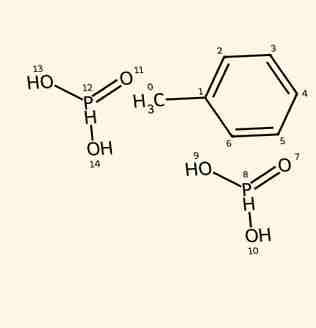 Cc1ccccc1.O=[PH](O)O.O=[PH](O)O